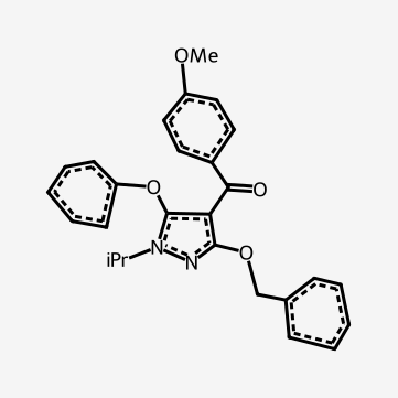 COc1ccc(C(=O)c2c(OCc3ccccc3)nn(C(C)C)c2Oc2ccccc2)cc1